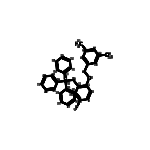 Fc1ccc(OCc2cc(C(F)(F)F)cc(C(F)(F)F)c2)c(C[PH](c2ccccc2)(c2ccccc2)c2ccccc2)c1